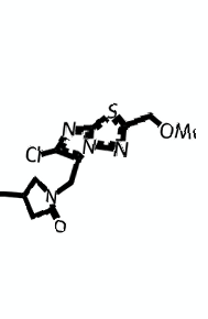 CCCC1CC(=O)N(Cc2c(Cl)nc3sc(COC)nn23)C1